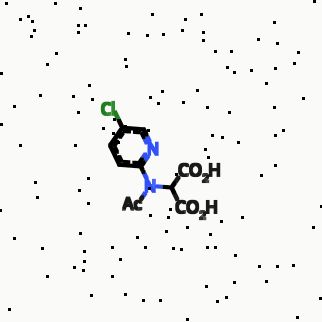 CC(=O)N(c1ccc(Cl)cn1)C(C(=O)O)C(=O)O